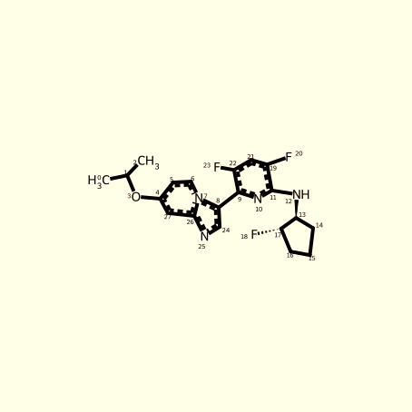 CC(C)Oc1ccn2c(-c3nc(N[C@H]4CCC[C@@H]4F)c(F)cc3F)cnc2c1